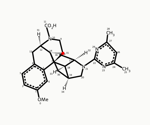 COc1ccc2c(c1)[C@]13CCN(C(=O)O)[C@H](C2)[C@]12CC[C@@H]1[C@H]3[C@@H](CN1c1nc(C)cc(C)n1)C2